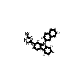 Brc1nnc(-c2ccc3c4ccccc4n(-c4ccc5ccccc5c4)c3c2)s1